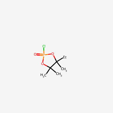 CCC1(C)OP(=O)(Cl)OC1(C)C